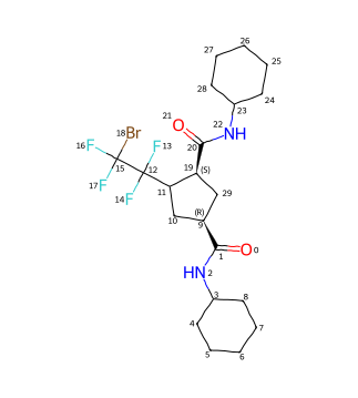 O=C(NC1CCCCC1)[C@H]1CC(C(F)(F)C(F)(F)Br)[C@@H](C(=O)NC2CCCCC2)C1